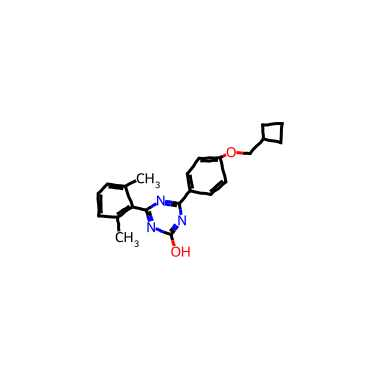 Cc1cccc(C)c1-c1nc(O)nc(-c2ccc(OCC3CCC3)cc2)n1